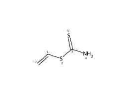 C=CSC(N)=S